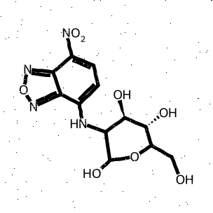 O=[N+]([O-])c1ccc(NC2C(O)OC(CO)[C@@H](O)[C@@H]2O)c2nonc12